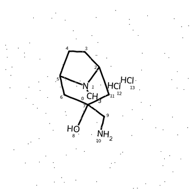 CN1C2CCC1CC(O)(CN)C2.Cl.Cl